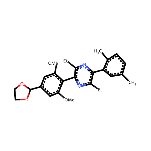 CCc1nc(-c2c(OC)cc(C3OCCO3)cc2OC)c(CC)nc1-c1cc(C)ccc1C